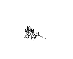 CCCCCCC#C[C@]1(C(F)(F)F)CC(c2ccc(C)cc2)=C(C(=O)NS(C)(=O)=O)C(=O)N1